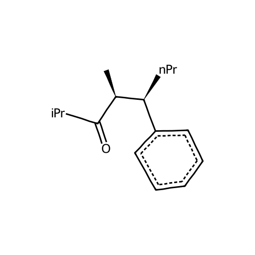 CCC[C@@H](c1ccccc1)[C@H](C)C(=O)C(C)C